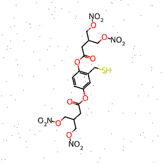 O=C(CC(CO[N+](=O)[O-])CO[N+](=O)[O-])Oc1ccc(OC(=O)CC(CO[N+](=O)[O-])CO[N+](=O)[O-])c(CS)c1